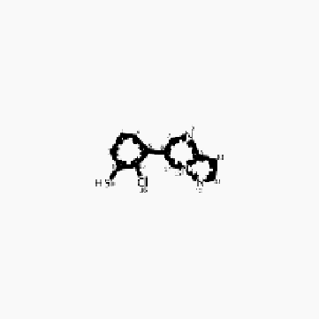 Sc1cccc(-c2cnc3ccnn3c2)c1Cl